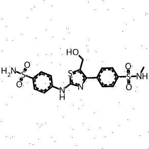 CNS(=O)(=O)c1ccc(-c2nc(Nc3ccc(S(N)(=O)=O)cc3)sc2CO)cc1